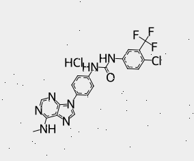 CNc1ncnc2c1ncn2-c1ccc(NC(=O)Nc2ccc(Cl)c(C(F)(F)F)c2)cc1.Cl